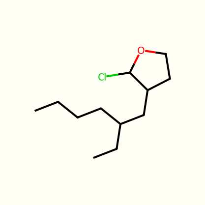 CCCCC(CC)CC1CCOC1Cl